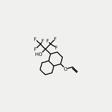 C=COC1CCC(C(O)(C(F)(F)F)C(F)(F)F)C2CCCCC12